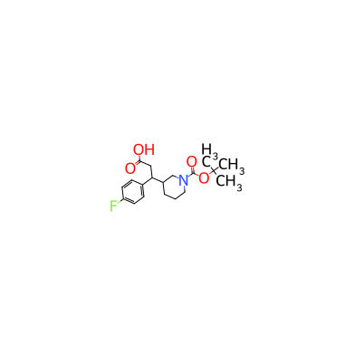 CC(C)(C)OC(=O)N1CCCC(C(CC(=O)O)c2ccc(F)cc2)C1